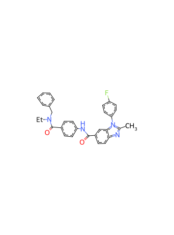 CCN(Cc1ccccc1)C(=O)c1ccc(NC(=O)c2ccc3nc(C)n(-c4ccc(F)cc4)c3c2)cc1